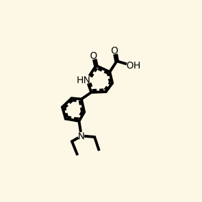 CCN(CC)c1cccc(-c2ccc(C(=O)O)c(=O)[nH]2)c1